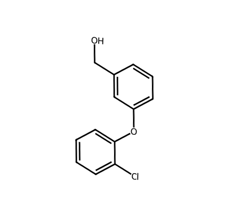 OCc1cccc(Oc2ccccc2Cl)c1